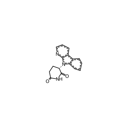 O=C1CC[C@H](n2c3ccccc3c3cccnc32)C(=O)N1